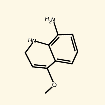 COC1=CCNc2c(N)cccc21